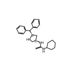 C=C(NC1CCCCC1)N[C@H]1CN[C@@H](C(c2ccccc2)c2ccccc2)C1